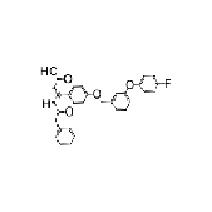 O=C(O)C[C@H](NC(=O)Cc1ccccc1)c1ccc(OCc2cccc(Oc3ccc(F)cc3)c2)cc1